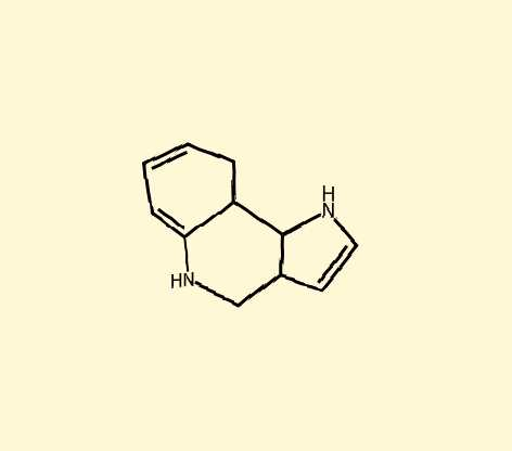 C1=CCC2C(=C1)NCC1C=CNC12